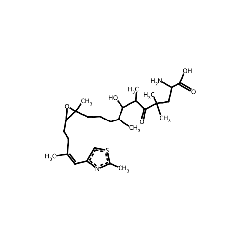 CC(=Cc1csc(C)n1)CCC1OC1(C)CCCC(C)C(O)C(C)C(=O)C(C)(C)CC(N)C(=O)O